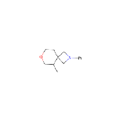 CC(C)N1CC2(CCOCC2C)C1